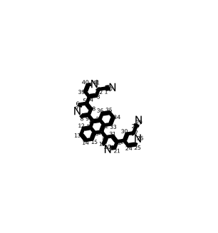 N#Cc1cc(-c2cncc(-c3c4ccccc4c(-c4cncc(-c5ccnc(C#N)c5)c4)c4ccccc34)c2)ccn1